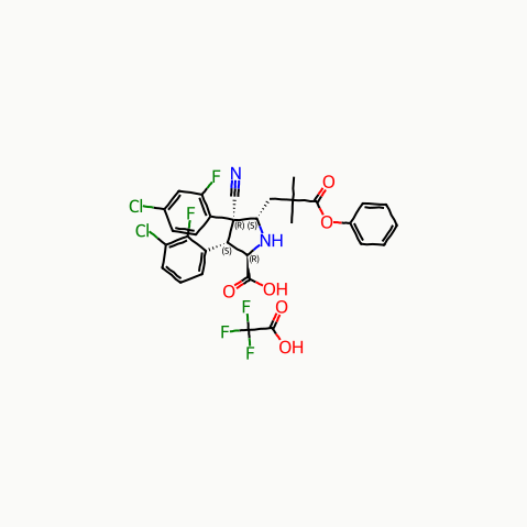 CC(C)(C[C@@H]1N[C@@H](C(=O)O)[C@H](c2cccc(Cl)c2F)[C@@]1(C#N)c1ccc(Cl)cc1F)C(=O)Oc1ccccc1.O=C(O)C(F)(F)F